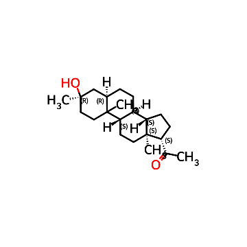 CC(=O)[C@H]1CC[C@H]2[C@@H]3CC[C@@H]4C[C@](C)(O)CCC4(C)[C@H]3CC[C@]12C